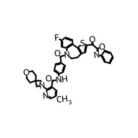 Cc1cnc(N2CC3(CCOCC3)C2)c(C(=O)Nc2ccc(C(=O)N3CCc4cc(C(=O)c5nc6ccccc6o5)sc4-c4ccc(F)cc43)cc2)c1